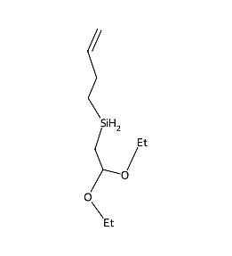 C=CCC[SiH2]CC(OCC)OCC